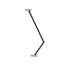 O=C(O)C=CCCCCCCCCCCCCCCCCCCCCCCCCCCCCC/C=C\CCCCCCCCCCCCCC(=O)O